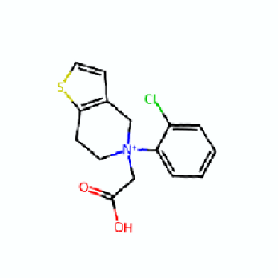 O=C(O)C[N+]1(c2ccccc2Cl)CCc2sccc2C1